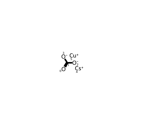 O=C([O-])[O-].[Cs+].[Cu+]